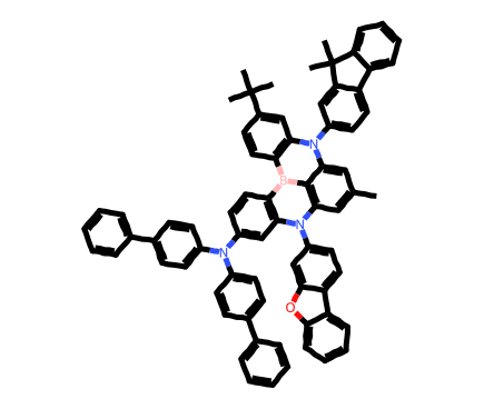 Cc1cc2c3c(c1)N(c1ccc4c(c1)C(C)(C)c1ccccc1-4)c1cc(C(C)(C)C)ccc1B3c1ccc(N(c3ccc(-c4ccccc4)cc3)c3ccc(-c4ccccc4)cc3)cc1N2c1ccc2c(c1)oc1ccccc12